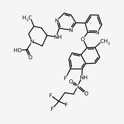 Cc1ccc2c(NS(=O)(=O)CCC(F)(F)F)c(F)ccc2c1Oc1ncccc1-c1ccnc(NC2CC(C)CN(C(=O)O)C2)n1